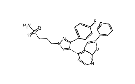 NS(=O)(=O)CCCn1cc(-c2ncnc3oc(-c4ccccc4)cc23)c(-c2ccc(F)cc2)n1